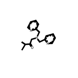 CC(C)C(=O)CN(Cc1ccccn1)Cc1ccccn1